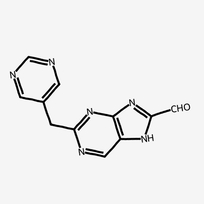 O=Cc1nc2nc(Cc3cncnc3)ncc2[nH]1